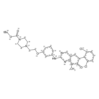 Cn1c(=O)c(-c2c(Cl)cccc2Cl)cc2cnc(Nc3cccc(OCCN4CCN(C(=O)OC(C)(C)C)CC4)c3)nc21